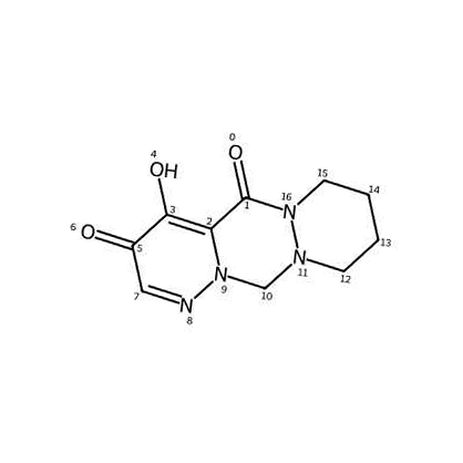 O=C1c2c(O)c(=O)cnn2CN2CCCCN12